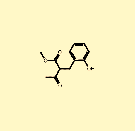 COC(=O)C(Cc1ccccc1O)C(C)=O